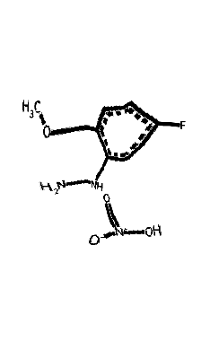 COc1ccc(F)cc1NN.O=[N+]([O-])O